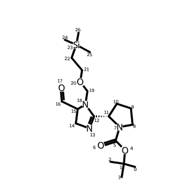 CC(C)(C)OC(=O)N1CCC[C@H]1C1=NCC(C=O)N1COCC[Si](C)(C)C